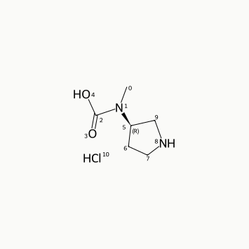 CN(C(=O)O)[C@@H]1CCNC1.Cl